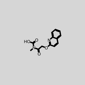 CN(C(=O)O)C(=O)COc1ccc2ccccc2n1